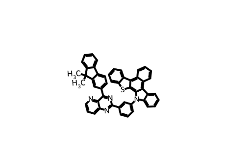 CC1(C)c2ccccc2-c2ccc(-c3nc(-c4cccc(-n5c6ccccc6c6c7ccccc7c7c8ccccc8sc7c65)c4)nc4cccnc34)cc21